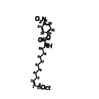 CCCCCCCC/C=C\CCCCCCCCNC(=O)Oc1ccc([N+](=O)[O-])cc1